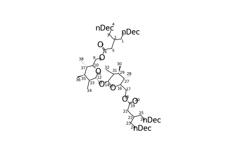 CCCCCCCCCCCC(CCCCCCCCCCC)CC(=O)OCC1O[C@H](O[C@@H]2OC(COC(=O)CC(CCCCCCCCCCC)CCCCCCCCCCC)[C@@H](C)[C@H](C)C2C)C(C)[C@@H](C)[C@@H]1C